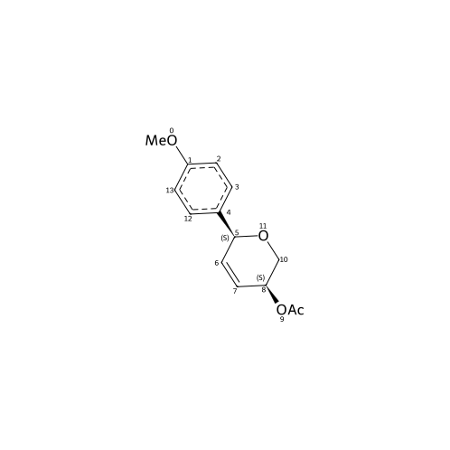 COc1ccc([C@@H]2C=C[C@H](OC(C)=O)CO2)cc1